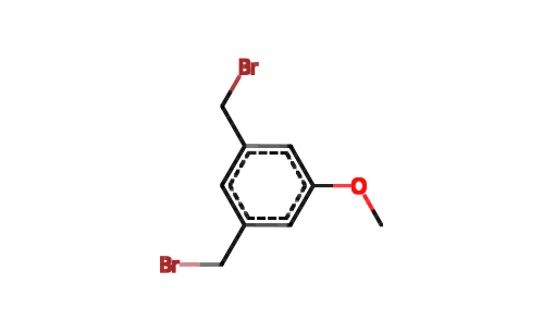 COc1cc(CBr)cc(CBr)c1